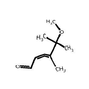 COC(C)(C)/C(C)=C/C=O